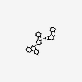 C1=CC2Sc3ccccc3C2c2oc(-n3c4ccccc4c4cc(-c5cc6ccccc6c6ccccc56)ccc43)nc21